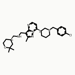 Cc1nn2c([C@@H]3CCCN(Cc4ccc(Cl)cc4)C3)ccnc2c1CNC[C@@H]1CCOC(C)(C)C1